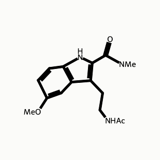 CNC(=O)c1[nH]c2ccc(OC)cc2c1CCNC(C)=O